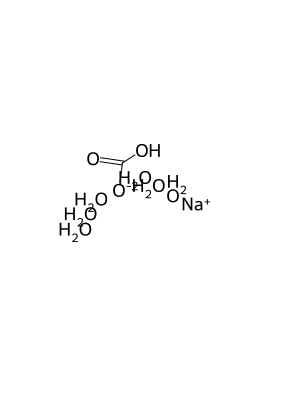 O.O.O.O.O.O.O=C([O-])O.[Na+]